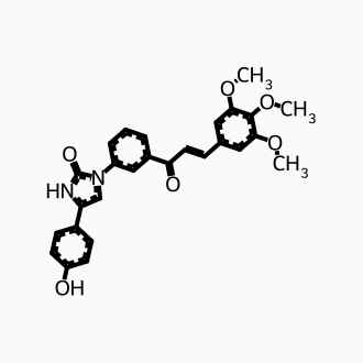 COc1cc(/C=C/C(=O)c2cccc(-n3cc(-c4ccc(O)cc4)[nH]c3=O)c2)cc(OC)c1OC